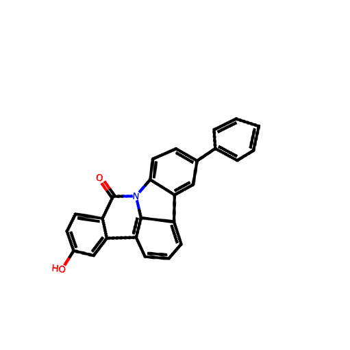 O=c1c2ccc(O)cc2c2cccc3c4cc(-c5ccccc5)ccc4n1c23